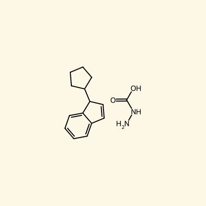 C1=CC(C2CCCC2)c2ccccc21.NNC(=O)O